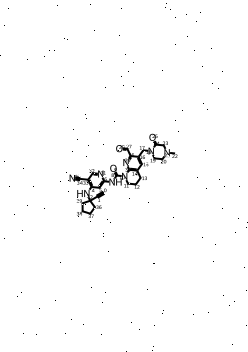 C#CC1(Nc2cc(NC(=O)N3CCCc4cc(CN5CCN(C)CC5=O)c(C=O)nc43)ncc2C#N)CCCC1